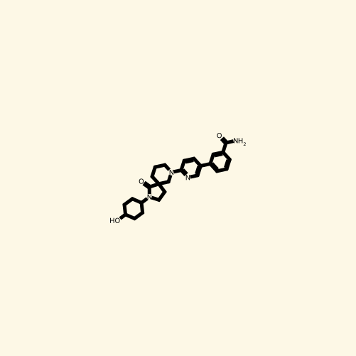 NC(=O)c1cccc(-c2ccc(N3CCCC4(CCN(C5CCC(O)CC5)C4=O)C3)nc2)c1